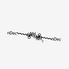 CCCCCCCCCCCCCCCCCCOC(=O)[C@@H](N)CSSC[C@H](N)C(=O)OCCCCCCCCCCCCCCCCCC